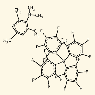 Cc1cc(C)c(N(C)C)c(C)c1.Fc1c(F)c(F)c([B-](c2c(F)c(F)c(F)c(F)c2F)(c2c(F)c(F)c(F)c(F)c2F)c2c(F)c(F)c(F)c(F)c2F)c(F)c1F